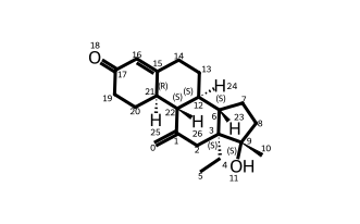 C=C1C[C@@]2(CC)[C@@H](CC[C@]2(C)O)[C@@H]2CCC3=CC(=O)CC[C@@H]3[C@@H]12